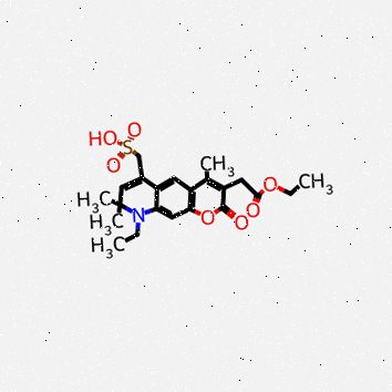 CCOC(=O)Cc1c(C)c2cc3c(cc2oc1=O)N(CC)C(C)(C)C=C3CS(=O)(=O)O